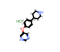 Cl.c1ncc(Oc2ccc(C3CCNCC3)cc2)cn1